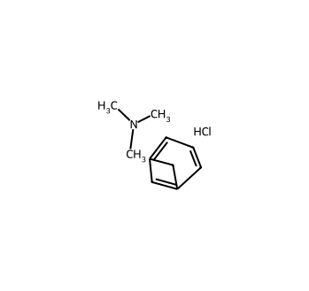 CN(C)C.Cl.c1cc2cc(c1)C2